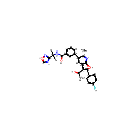 CC[C@H](C)c1nc2oc(-c3ccc(F)cc3)c(C(=O)NC)c2cc1-c1cccc(C(=O)NC(C)(C)c2ncon2)c1